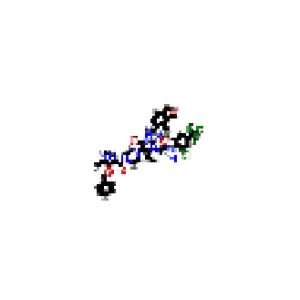 CCc1c(N2CCN(C(=O)c3ncnc(C)c3OCc3ccccc3)CC2)c(=O)n2nc(-c3ccc4c(c3C)COC4)nc2n1CC(=O)Nc1ccc(C(F)(F)F)cc1Cl